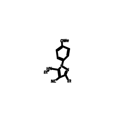 CCNc1c(C#N)c(CC)nn1-c1ccc(OC)cc1